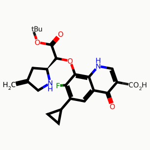 C=C1CN[C@H](C(Oc2c(F)c(C3CC3)cc3c(=O)c(C(=O)O)c[nH]c23)C(=O)OC(C)(C)C)C1